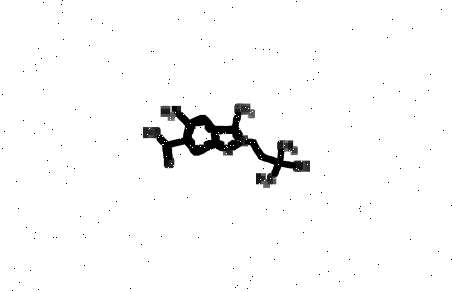 Cc1c2cc(N)c(C(=O)O)cc2nn1CCC(C)(C)O